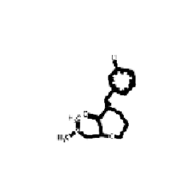 CN(C)CC1CCCCC(=Cc2cccc(Cl)c2)C1=O